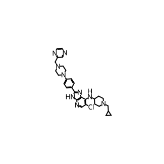 Clc1cnc2[nH]c(-c3ccc(N4CCN(Cc5cnccn5)CC4)cc3)nc2c1NC1CCN(CC2CC2)CC1